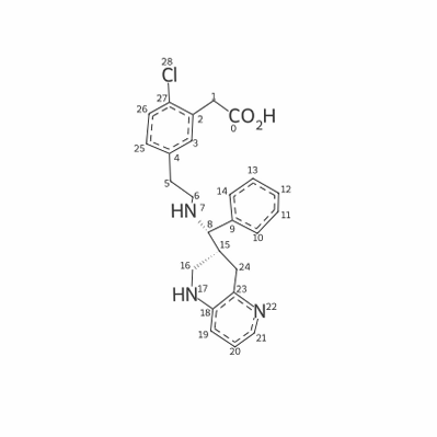 O=C(O)Cc1cc(CCN[C@H](c2ccccc2)[C@H]2CNc3cccnc3C2)ccc1Cl